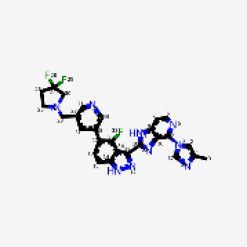 Cc1cn(-c2nccc3[nH]c(-c4n[nH]c5ccc(-c6cncc(CN7CCC(F)(F)C7)c6)c(F)c45)nc23)cn1